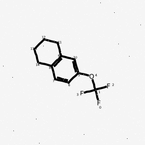 FC(F)(F)Oc1ccc2c(c1)CC[CH]C2